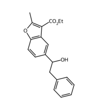 CCOC(=O)c1c(C)oc2ccc(C(O)Cc3ccccc3)cc12